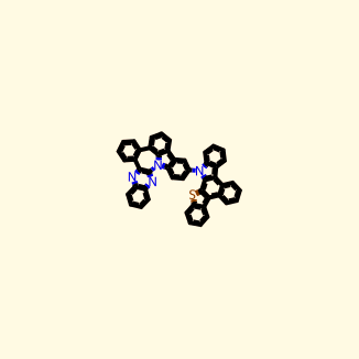 c1ccc2c(c1)-c1nc3ccccc3nc1-n1c3ccc(-n4c5ccccc5c5c6ccccc6c6c7ccccc7sc6c54)cc3c3cccc-2c31